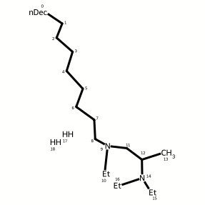 CCCCCCCCCCCCCCCCCCN(CC)CC(C)N(CC)CC.[HH].[HH]